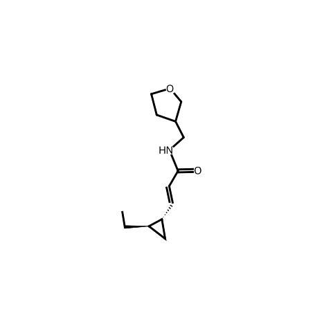 CC[C@@H]1C[C@H]1/C=C/C(=O)NCC1CCOC1